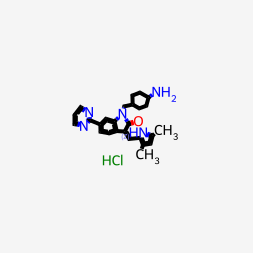 Cc1cc(C)c(/C=C2\C(=O)N(CC3CCC(N)CC3)c3cc(-c4ncccn4)ccc32)[nH]1.Cl